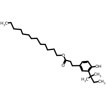 CCCCCCCCCCCCCOC(=O)CCc1ccc(O)c(C(C)(C)CC)c1